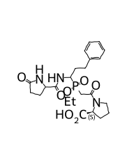 CCOP(=O)(CC(=O)N1CCC[C@H]1C(=O)O)C(CCc1ccccc1)NC(=O)C1CCC(=O)N1